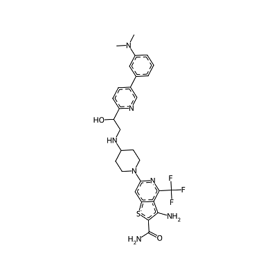 CN(C)c1cccc(-c2ccc(C(O)CNC3CCN(c4cc5sc(C(N)=O)c(N)c5c(C(F)(F)F)n4)CC3)nc2)c1